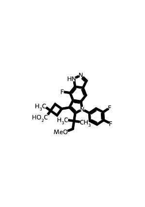 COCC(C)(C)c1c(C2CC(C)(C(=O)O)C2)c2c(F)c3[nH]ncc3cc2n1-c1ccc(F)c(F)c1